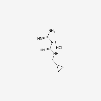 Cl.N=C(N)NC(=N)NCC1CC1